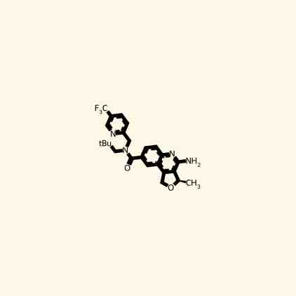 C[C@H]1OCc2c1c(N)nc1ccc(C(=O)N(Cc3ccc(C(F)(F)F)cn3)CC(C)(C)C)cc21